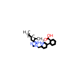 CCCCC1(C(C)C)N=CN(Cc2ccc(-c3ccccc3C(=O)O)cn2)N1